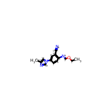 CCOC=Nc1ccc(-n2cnc(C)c2)cc1C#N